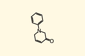 O=C1C=CCN(c2ccccc2)C1